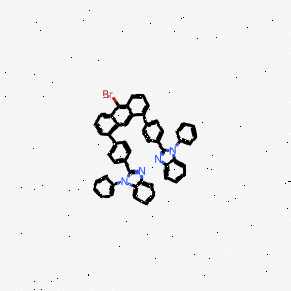 Brc1c2cccc(-c3ccc(-c4nc5ccccc5n4-c4ccccc4)cc3)c2cc2c(-c3ccc(-c4nc5ccccc5n4-c4ccccc4)cc3)cccc12